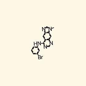 Cn1cnc2cc3c(Nc4cccc(Br)c4)ncnc3cc21